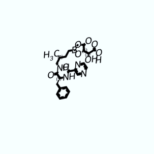 C[C@H](CCB1OC(=O)[C@H]([C@H](O)C(=O)O)O1)CNC(=O)[C@H](Cc1ccccc1)NC(=O)c1cnccn1